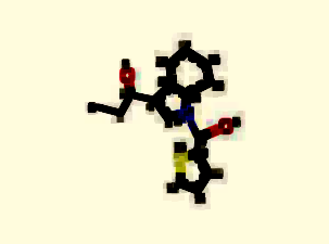 CCC(=O)c1cn(C(=O)c2cccs2)c2ccccc12